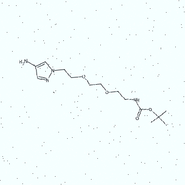 CC(C)(C)OC(=O)NCCOCCOCCn1cc(N)cn1